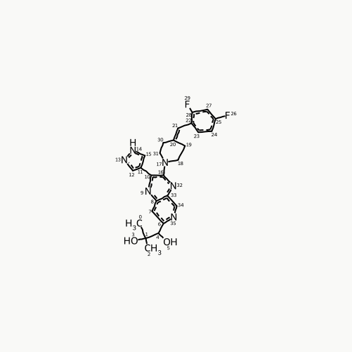 CC(C)(O)C(O)c1cc2nc(-c3cn[nH]c3)c(N3CCC(=Cc4ccc(F)cc4F)CC3)nc2cn1